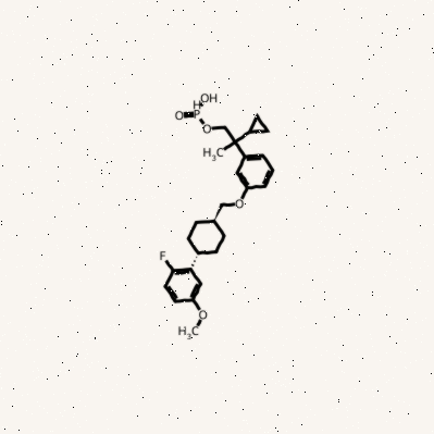 COc1ccc(F)c([C@H]2CC[C@H](COc3cccc(C(C)(CO[PH](=O)O)C4CC4)c3)CC2)c1